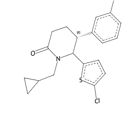 O=C1CC[C@H](c2cccc(Cl)c2)C(c2ccc(Cl)s2)N1CC1CC1